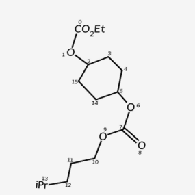 CCOC(=O)OC1CCC(OC(=O)OCCCC(C)C)CC1